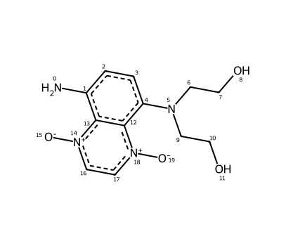 Nc1ccc(N(CCO)CCO)c2c1[n+]([O-])cc[n+]2[O-]